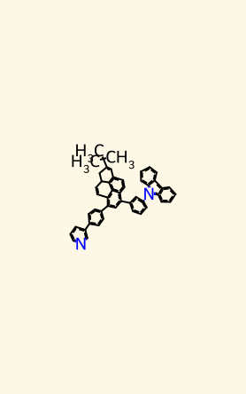 CC(C)(C)C1=Cc2ccc3c(-c4cccc(-n5c6ccccc6c6ccccc65)c4)cc(-c4ccc(-c5cccnc5)cc4)c4c3c2C(C=C4)C1